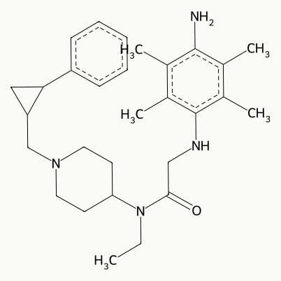 CCN(C(=O)CNc1c(C)c(C)c(N)c(C)c1C)C1CCN(CC2CC2c2ccccc2)CC1